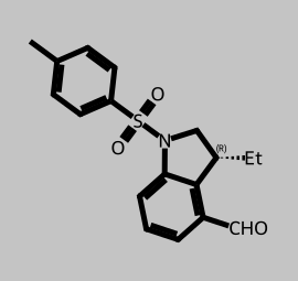 CC[C@H]1CN(S(=O)(=O)c2ccc(C)cc2)c2cccc(C=O)c21